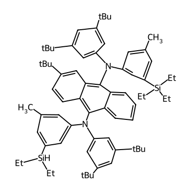 CC[SiH](CC)c1cc(C)cc(N(c2cc(C(C)(C)C)cc(C(C)(C)C)c2)c2c3ccccc3c(N(c3cc(C(C)(C)C)cc(C(C)(C)C)c3)c3cc(C)cc([Si](CC)(CC)CC)c3)c3cc(C(C)(C)C)ccc23)c1